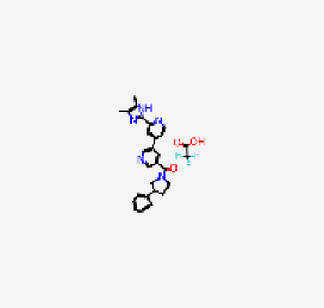 Cc1nc(-c2cc(-c3cncc(C(=O)N4CCC(c5ccccc5)C4)c3)ccn2)[nH]c1C.O=C(O)C(F)(F)F